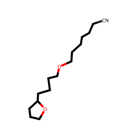 N#CCCCCCCOCCCCC1CCCO1